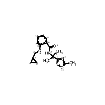 Cc1nc(C(C)(C)NC(=O)c2ccccc2OCC2CC2)no1